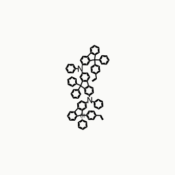 C=Cc1ccc(C2(c3ccccc3)c3ccccc3-c3ccc(N(c4ccccc4)c4ccc5c(c4)C(c4ccccc4)(c4ccccc4)c4cc(N(c6ccccc6)c6ccc7c(c6)[C@@](c6ccccc6)(c6ccc(C=C)cc6)c6ccccc6-7)ccc4-5)cc32)cc1